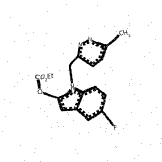 CCOC(=O)Oc1cc2cc(F)ccc2n1Cc1ccc(C)nn1